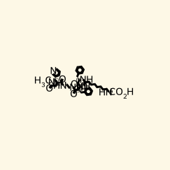 CN1C(=O)C[C@H](C(=O)NCCNC(=O)[C@H](Cc2ccccc2)NC(=O)[C@H](Cc2ccccc2)NC(=O)CCCCCCCNC(=O)O)[C@H]1c1cccnc1